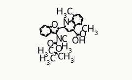 Cc1ccc(C)c2c(C(=O)O)cc(-c3oc4ccccc4c3N(C)C(=O)OC(C)(C)C)nc12